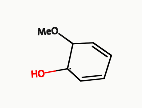 COC1C=CC=C[C]1O